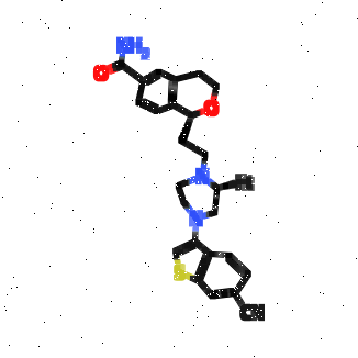 CC[C@H]1CN(c2csc3cc(C#N)ccc23)CCN1CC[C@@H]1OCCc2cc(C(N)=O)ccc21